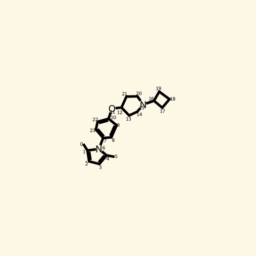 Cc1[c]cc(C)n1-c1ccc(OC2CCN(C3CCC3)CC2)cc1